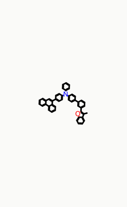 Cc1c(-c2cccc(-c3ccc(N(c4ccccc4)c4ccc(-c5cc6ccccc6c6ccccc56)cc4)cc3)c2)oc2ccccc12